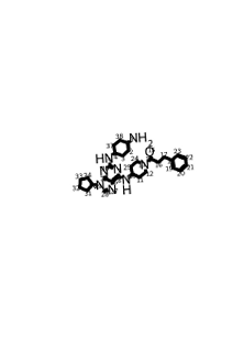 NC1CCC(Nc2nc(NC3CCN(C(=O)CCc4ccccc4)CC3)c3ncn(C4CCCC4)c3n2)CC1